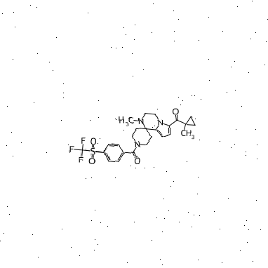 CN1CCn2c(C(=O)C3(C)CC3)ccc2C12CCN(C(=O)c1ccc(S(=O)(=O)C(F)(F)F)cc1)CC2